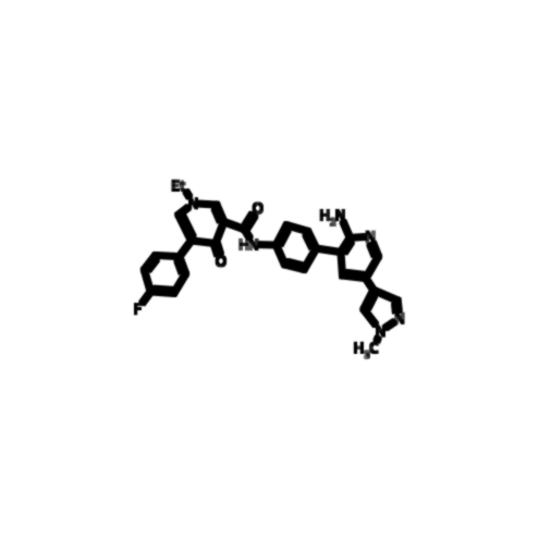 CCn1cc(C(=O)Nc2ccc(-c3cc(-c4cnn(C)c4)cnc3N)cc2)c(=O)c(-c2ccc(F)cc2)c1